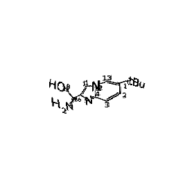 CC(C)(C)c1ccc2nc([C@@H](N)CO)cn2c1